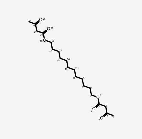 CC(=O)CC(=O)OCCCCCCCCCCCCOC(=O)CC(C)=O